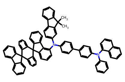 CC1(C)c2ccccc2-c2ccc(N(c3ccc(-c4ccc(N(c5ccccc5)c5cccc6ccccc56)cc4)cc3)c3cccc4c3-c3ccccc3C43c4ccccc4C4(c5ccccc5-c5ccccc54)c4ccccc43)cc21